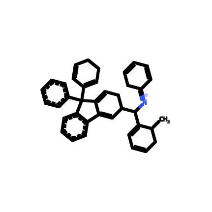 CC1CC=CC=C1C(/N=C1/C=CC=CC1)C1C=C2C(=CC1)C(C1=CCCC=C1)(c1ccccc1)c1ccccc12